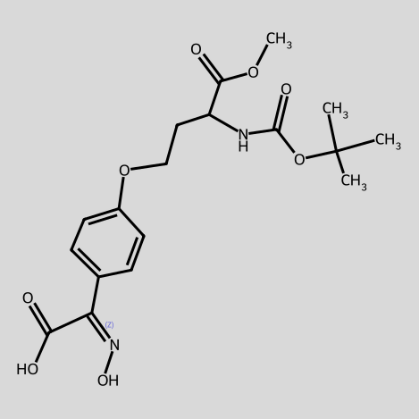 COC(=O)C(CCOc1ccc(/C(=N/O)C(=O)O)cc1)NC(=O)OC(C)(C)C